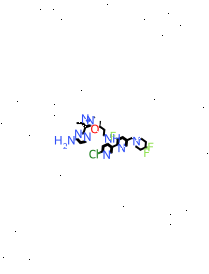 Cc1nn(C)c(O[C@@H](C)CCNc2cc(Cl)ncc2-c2ncc(CN3CCC(F)(F)CC3)cc2F)c1-c1nccc(N)n1